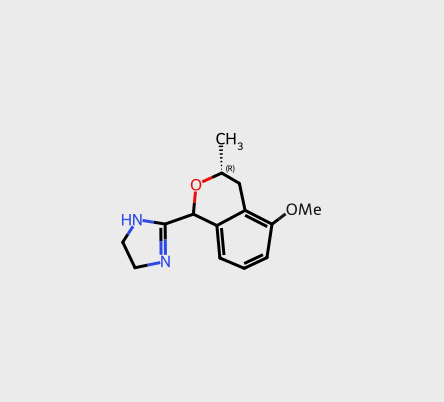 COc1cccc2c1C[C@@H](C)OC2C1=NCCN1